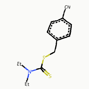 CCN(CC)C(=S)SCc1ccc(C#N)cc1